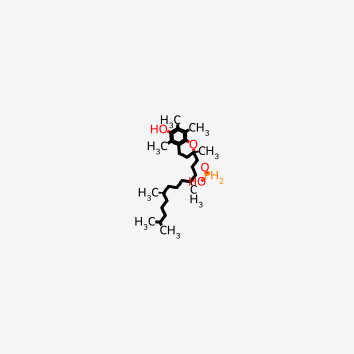 Cc1c(C)c2c(c(C)c1O)CC[C@@](C)(CCC[C@H](C)CCC[C@H](C)CCCC(C)C)O2.O=[PH2]O